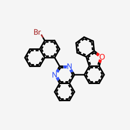 Brc1ccc(-c2nc(-c3cccc4oc5ccccc5c34)c3ccccc3n2)c2ccccc12